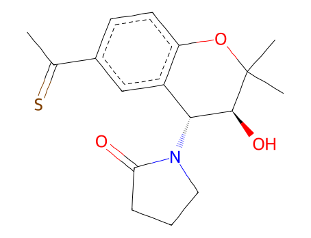 CC(=S)c1ccc2c(c1)[C@@H](N1CCCC1=O)[C@H](O)C(C)(C)O2